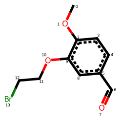 COc1ccc(C=O)cc1OCCBr